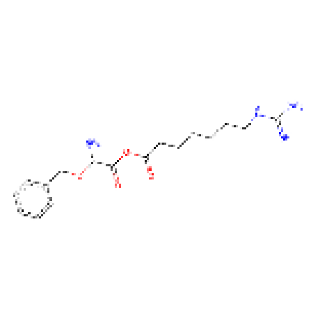 N=C(N)NCCCCCCC(=O)OC(=O)C(N)OCc1ccccc1